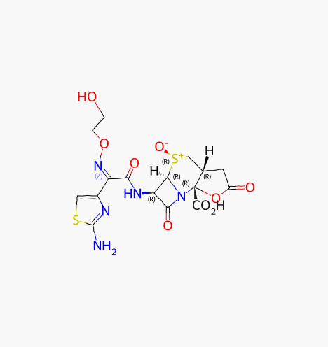 Nc1nc(/C(=N/OCCO)C(=O)N[C@@H]2C(=O)N3[C@@H]2[S@@+]([O-])C[C@@H]2CC(=O)O[C@@]23C(=O)O)cs1